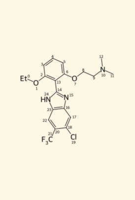 CCOc1cccc(OCCN(C)C)c1-c1nc2cc(Cl)c(C(F)(F)F)cc2[nH]1